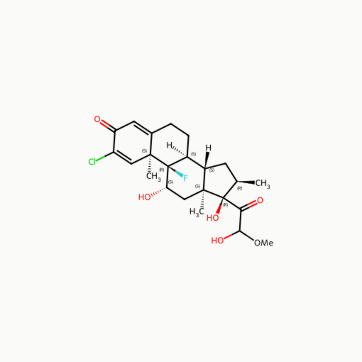 COC(O)C(=O)[C@@]1(O)[C@H](C)C[C@H]2[C@@H]3CCC4=CC(=O)C(Cl)=C[C@]4(C)[C@@]3(F)[C@@H](O)C[C@@]21C